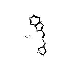 C(=NOC1CCNC1)c1cc2ccncc2[nH]1.Cl.Cl